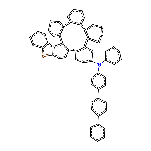 c1ccc(-c2ccc(-c3ccc(N(c4ccccc4)c4ccc5c(c4)c4ccccc4c4ccccc4c4ccccc4c4c5ccc5sc6ccccc6c54)cc3)cc2)cc1